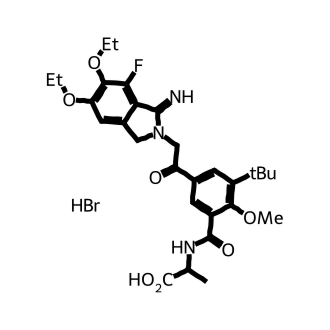 Br.CCOc1cc2c(c(F)c1OCC)C(=N)N(CC(=O)c1cc(C(=O)NC(C)C(=O)O)c(OC)c(C(C)(C)C)c1)C2